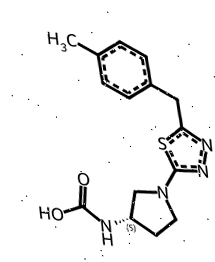 Cc1ccc(Cc2nnc(N3CC[C@H](NC(=O)O)C3)s2)cc1